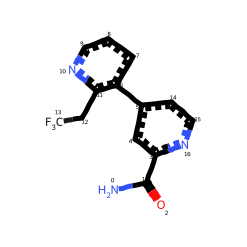 NC(=O)c1cc(-c2cccnc2CC(F)(F)F)ccn1